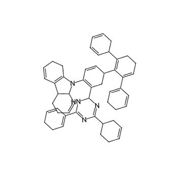 C1=CCC(C2=C(C3C=CC(N4C5=C(C=CCC5)C5CCC=CC54)=C(C4N=C(C5CC=CCC5)N=C(C5=CCCC=C5)N4)C3)C(C3=CCCC=C3)=CCC2)C=C1